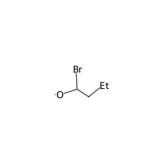 CCCC([O])Br